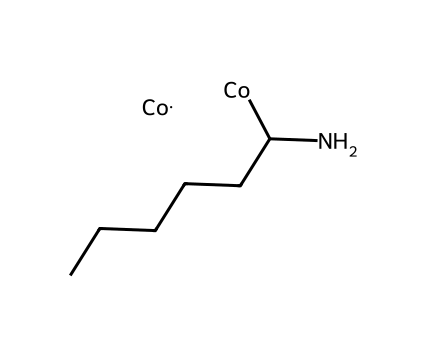 CCCCC[CH](N)[Co].[Co]